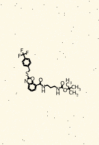 CC(C)(C)OC(=O)NCCCNC(=O)c1cccc2nc(SCc3ccc(C(F)(F)F)cc3)oc12